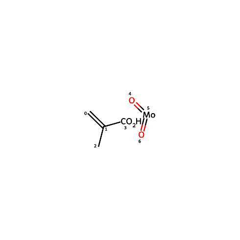 C=C(C)C(=O)O.[O]=[Mo]=[O]